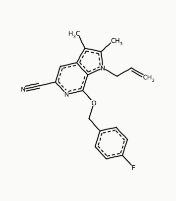 C=CCn1c(C)c(C)c2cc(C#N)nc(OCc3ccc(F)cc3)c21